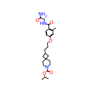 Cc1cc(OCCCC2CC3(CCN(C(=O)OC(C)C)CC3)C2)ccc1C(=O)NCC(N)=O